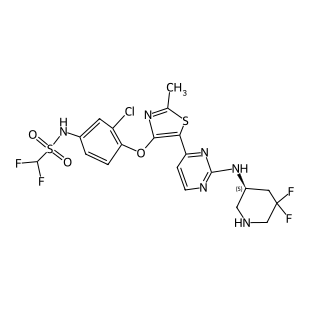 Cc1nc(Oc2ccc(NS(=O)(=O)C(F)F)cc2Cl)c(-c2ccnc(N[C@@H]3CNCC(F)(F)C3)n2)s1